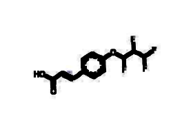 O=C(O)/C=C/c1ccc(OC(F)C(F)C(F)F)cc1